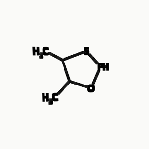 CC1OPSC1C